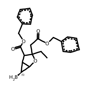 B[C@@H]1C2OC(CC)(CC(=O)OCc3ccccc3)C(C(=O)OCc3ccccc3)C21